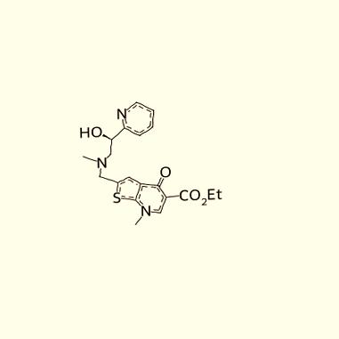 CCOC(=O)c1cn(C)c2sc(CN(C)C[C@@H](O)c3ccccn3)cc2c1=O